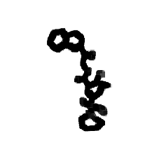 O=C(COC(=O)c1cc(S(=O)(=O)N2CCCCC2)ccc1Cl)c1ccc2ccccc2c1